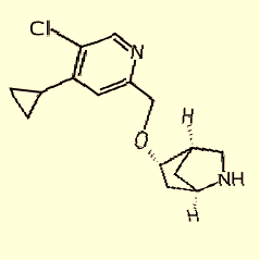 Clc1cnc(CO[C@H]2C[C@H]3C[C@@H]2CN3)cc1C1CC1